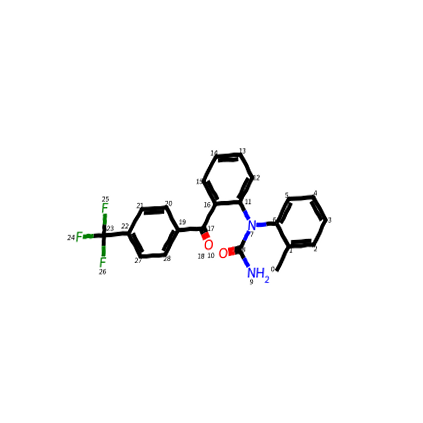 Cc1ccccc1N(C(N)=O)c1ccccc1C(=O)c1ccc(C(F)(F)F)cc1